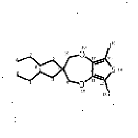 CCCCC1(CCCC)COc2c(I)sc(I)c2OC1